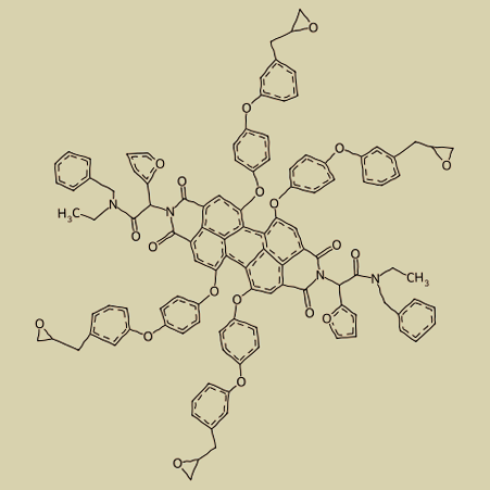 CCN(Cc1ccccc1)C(=O)C(c1ccco1)N1C(=O)c2cc(Oc3ccc(Oc4cccc(CC5CO5)c4)cc3)c3c4c(Oc5ccc(Oc6cccc(CC7CO7)c6)cc5)cc5c6c(cc(Oc7ccc(Oc8cccc(CC9CO9)c8)cc7)c(c7c(Oc8ccc(Oc9cccc(CC%10CO%10)c9)cc8)cc(c2c37)C1=O)c64)C(=O)N(C(C(=O)N(CC)Cc1ccccc1)c1ccco1)C5=O